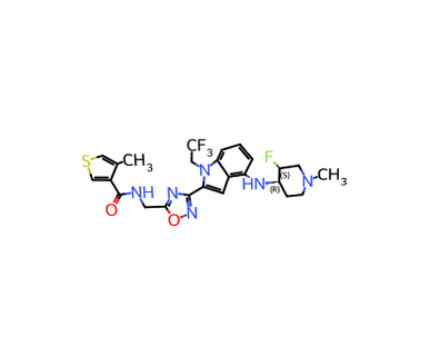 Cc1cscc1C(=O)NCc1nc(-c2cc3c(N[C@@H]4CCN(C)C[C@@H]4F)cccc3n2CC(F)(F)F)no1